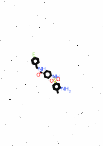 Cc1ccc(S(=O)(=O)N[C@H]2CC[C@H](C(=O)NCc3ccc(F)cc3)CC2)cc1N